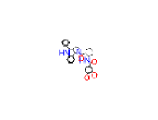 COc1ccc(C(=O)NC2CCCCC2C(=O)N2CCC3C(c4ccccc4)Nc4ccccc4C32)cc1OC